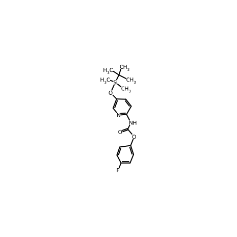 CC(C)(C)[Si](C)(C)Oc1ccc(NC(=O)Oc2ccc(F)cc2)nc1